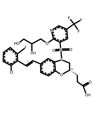 O=C(O)CC[C@H]1CN(S(=O)(=O)c2cc(C(F)(F)F)cnc2OCC(O)CO)c2cc(/C=C/c3c(F)cccc3Cl)ccc2O1